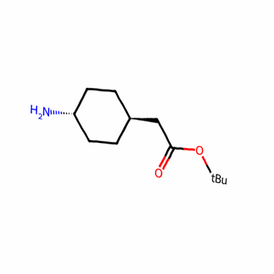 CC(C)(C)OC(=O)C[C@H]1CC[C@H](N)CC1